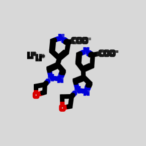 O=C([O-])c1cc(-c2cnn(C3COC3)c2)ccn1.O=C([O-])c1cc(-c2cnn(C3COC3)c2)ccn1.[Li+].[Li+]